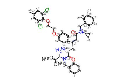 COC(CN(Cc1ccccc1)C(=O)[C@H](N)C/C(=C/C(=O)N(Cc1cccc(C)c1C)C1CC1)c1ccc(OCCOc2c(Cl)cc(C)cc2Cl)cc1)OC